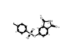 Cc1ccc(S(=O)(=O)Oc2ccc3c(c2)C(=O)NC3=O)cc1